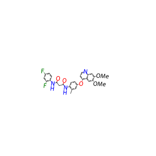 COc1cc2nccc(Oc3ccc(NC(=O)CC(=O)Nc4ccc(F)cc4F)c(C)c3)c2cc1OC